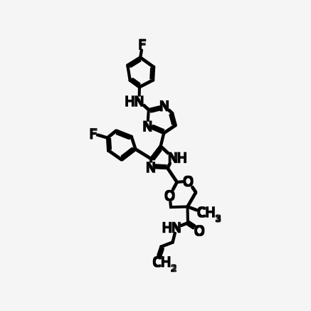 C=CCNC(=O)C1(C)COC(c2nc(-c3ccc(F)cc3)c(-c3ccnc(Nc4ccc(F)cc4)n3)[nH]2)OC1